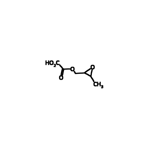 CC1OC1COC(=O)C(=O)O